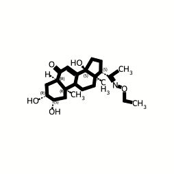 CCON=C(C)[C@H]1CC[C@@]2(O)C3=CC(=O)[C@@H]4C[C@@H](O)[C@@H](O)C[C@]4(C)C3CC[C@]12C